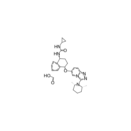 C[C@@H]1CCC[C@H](C)N1c1nnc2ccc(O[C@@H]3CC[C@H](NC(=O)NC4CC4)c4ccccc43)cn12.O=CO